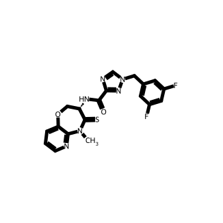 CN1C(=S)[C@@H](NC(=O)c2ncn(Cc3cc(F)cc(F)c3)n2)COc2cccnc21